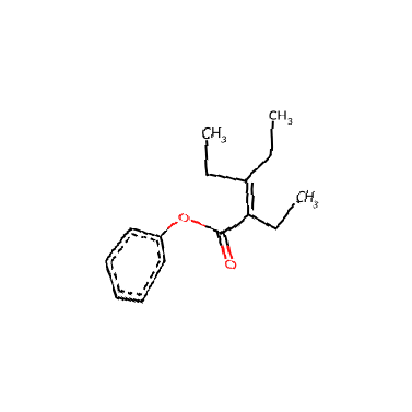 CCC(CC)=C(CC)C(=O)Oc1ccccc1